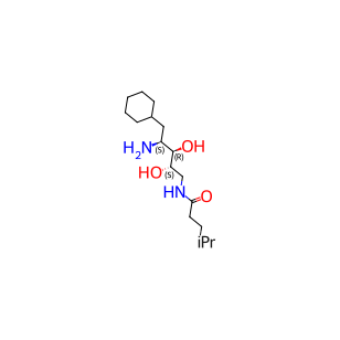 CC(C)CCC(=O)NC[C@H](O)[C@H](O)[C@@H](N)CC1CCCCC1